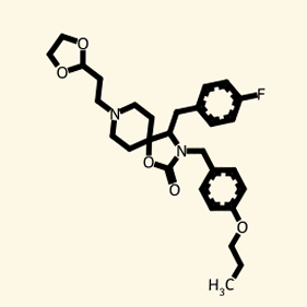 CCCOc1ccc(CN2C(=O)OC3(CCN(CCC4OCCO4)CC3)C2Cc2ccc(F)cc2)cc1